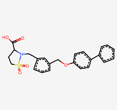 O=C(O)C1CCS(=O)(=O)N1Cc1cccc(COc2ccc(-c3ccccc3)cc2)c1